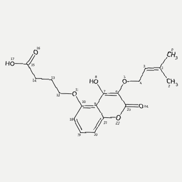 CC(C)=CCOc1c(O)c2c(OCCCC(=O)O)cccc2oc1=O